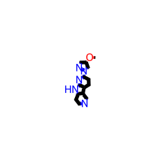 COc1cnn(-c2ccc3c(n2)[nH]c2ccncc23)c1